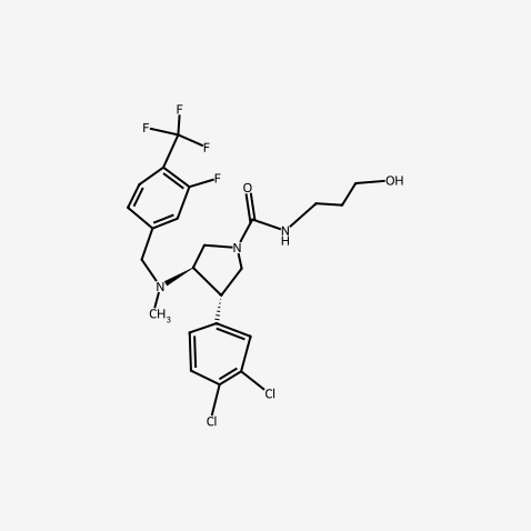 CN(Cc1ccc(C(F)(F)F)c(F)c1)[C@H]1CN(C(=O)NCCCO)C[C@@H]1c1ccc(Cl)c(Cl)c1